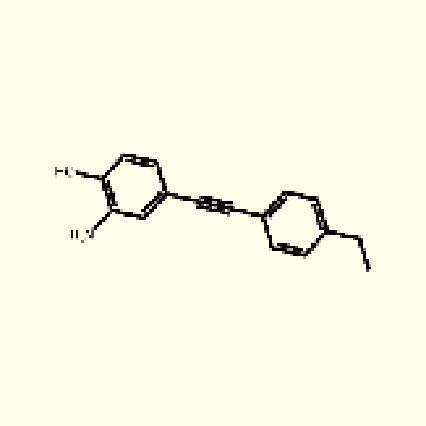 CCc1ccc(C#Cc2ccc(O)c(N)c2)cc1